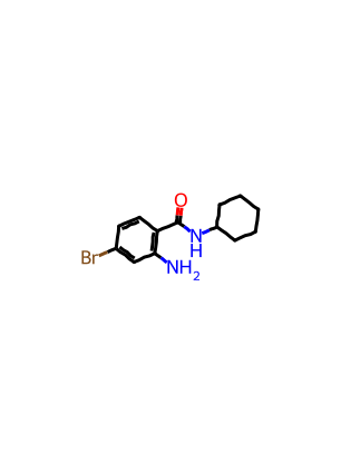 Nc1cc(Br)ccc1C(=O)NC1CCCCC1